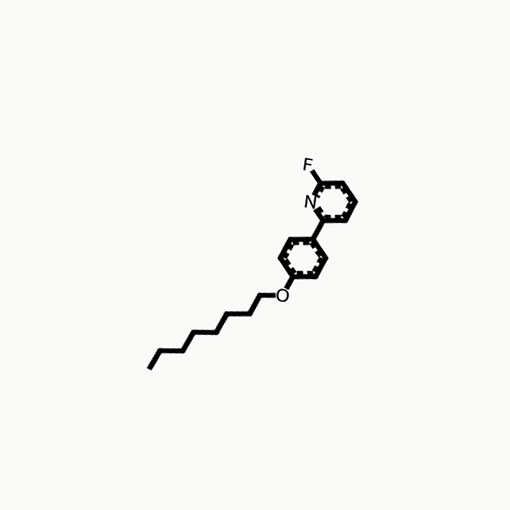 CCCCCCCCOc1ccc(-c2cccc(F)n2)cc1